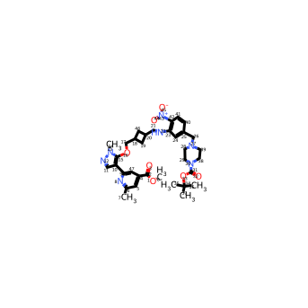 COC(=O)c1cc(C)nc(-c2cnn(C)c2OCC2CC(CNc3cc(CN4CCN(C(=O)OC(C)(C)C)CC4)ccc3[N+](=O)[O-])C2)c1